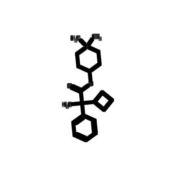 CC(C(=O)OC1CC[N+](C)(C)CC1)(c1ccccc1)C1CCC1